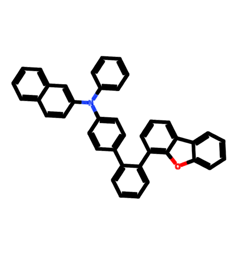 c1ccc(N(c2ccc(-c3ccccc3-c3cccc4c3oc3ccccc34)cc2)c2ccc3ccccc3c2)cc1